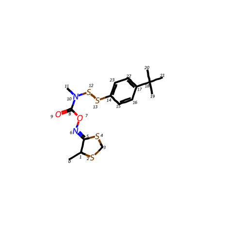 CC1SCSC1=NOC(=O)N(C)SSc1ccc(C(C)(C)C)cc1